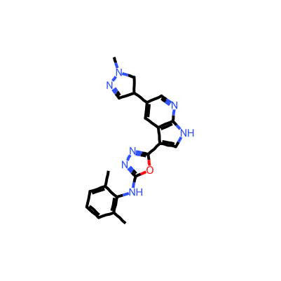 Cc1cccc(C)c1Nc1nnc(-c2c[nH]c3ncc(C4C=NN(C)C4)cc23)o1